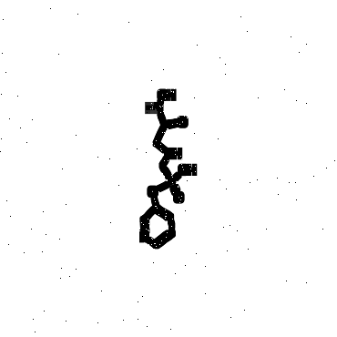 O=C(CNCP(=O)(O)Oc1cccnc1)NO